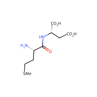 CSCC[C@H](N)C(=O)N[C@@H](CC(=O)O)C(=O)O